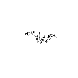 COc1ccc2ncc(N(C)C)c([C@H](O)CCc3c(F)cc(CCC[C@H](O)C4CCNCC4)c(F)c3F)c2c1